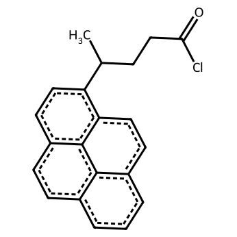 CC(CCC(=O)Cl)c1ccc2ccc3cccc4ccc1c2c34